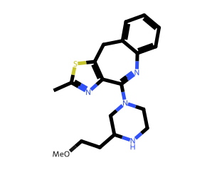 COCCC1CN(C2=Nc3ccccc3Cc3sc(C)nc32)CCN1